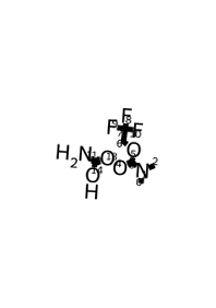 CN(C)C(=O)OCC(F)(F)F.NC(=O)O